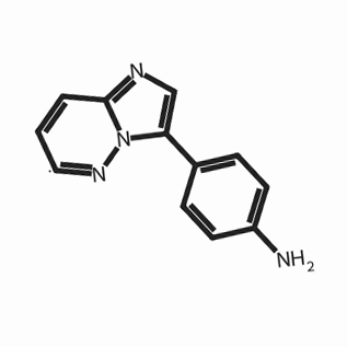 Nc1ccc(-c2cnc3cc[c]nn23)cc1